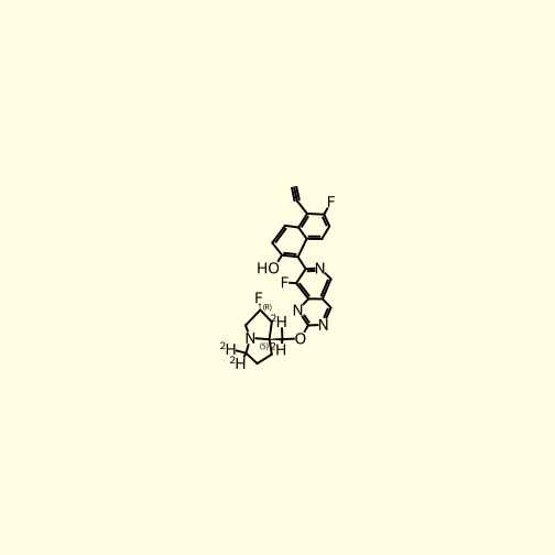 [2H]C1([2H])CC[C@@]2(C([2H])([2H])Oc3ncc4cnc(-c5c(O)ccc6c(C#C)c(F)ccc56)c(F)c4n3)C[C@@H](F)CN12